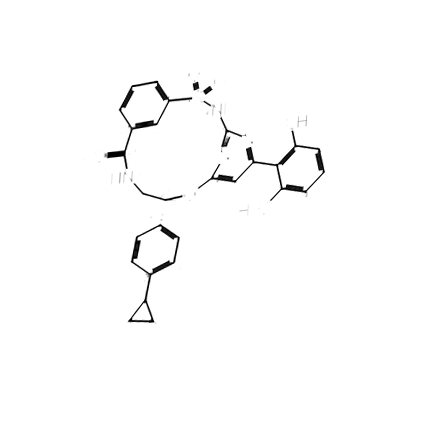 Cc1cccc(C)c1-c1cc2nc(n1)NS(=O)(=O)c1cccc(c1)C(=O)NC[C@@H](c1ccc(C3CC3)cc1)O2